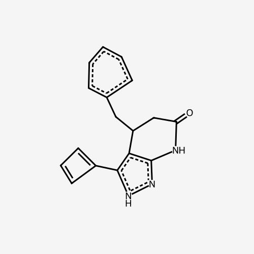 O=C1CC(Cc2ccccc2)c2c(n[nH]c2C2=CC=C2)N1